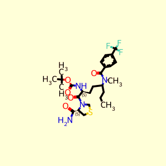 CCCC(CC[C@H](NC(=O)OC(C)(C)C)C(=O)N1CSC[C@@H]1C(N)=O)N(C)C(=O)c1ccc(C(F)(F)F)cc1